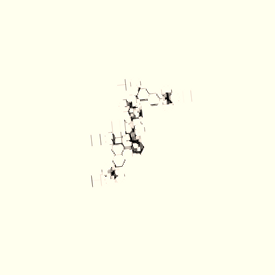 Cc1c2ccc(c1NC(=O)Nc1c3ccc(c1C)N(c1cc(O)cc4cc(S(=O)(=O)O)ccc14)S3(=O)=O)S(=O)(=O)N2c1cc(O)cc2cc(S(=O)(=O)O)ccc12